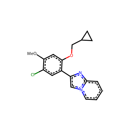 COc1cc(OCC2CC2)c(-c2cn3cc[c]cc3n2)cc1Cl